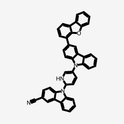 N#Cc1ccc2c(c1)c1ccccc1n2C1C=CC(n2c3ccccc3c3cc(-c4cccc5c4oc4ccccc45)ccc32)=CN1